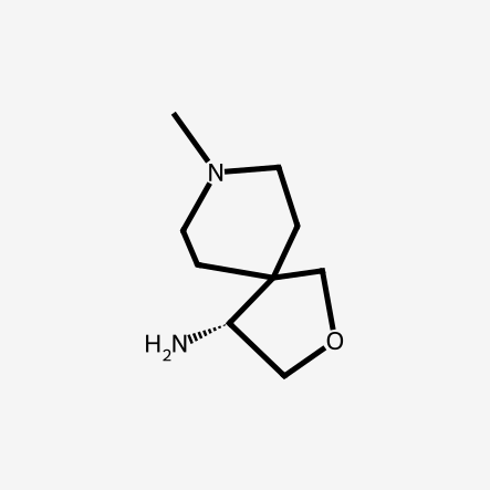 CN1CCC2(CC1)COC[C@@H]2N